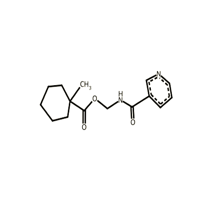 CC1(C(=O)OCNC(=O)c2cccnc2)CCCCC1